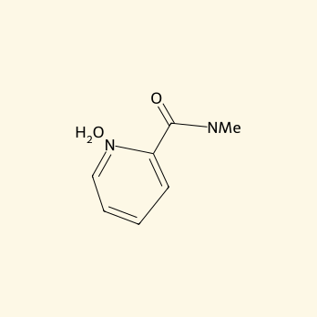 CNC(=O)c1ccccn1.O